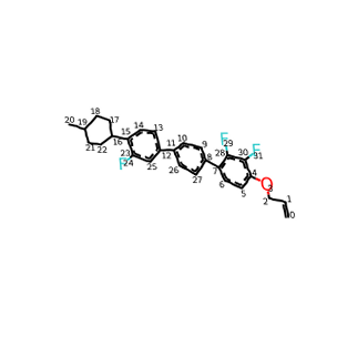 C=CCOc1ccc(-c2ccc(-c3ccc(C4CCC(C)CC4)c(F)c3)cc2)c(F)c1F